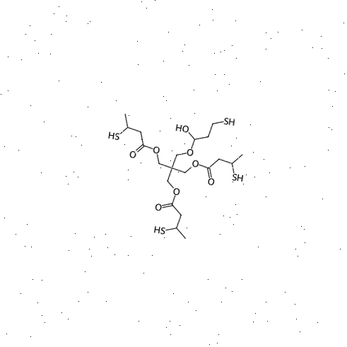 CC(S)CC(=O)OCC(COC(=O)CC(C)S)(COC(=O)CC(C)S)COC(O)CCS